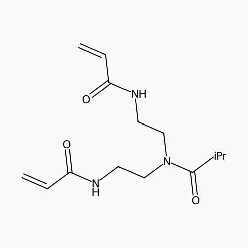 C=CC(=O)NCCN(CCNC(=O)C=C)C(=O)C(C)C